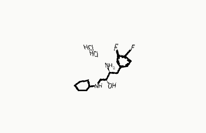 Cl.Cl.N[C@@H](Cc1ccc(F)c(F)c1)[C@H](O)CNC1CCCCC1